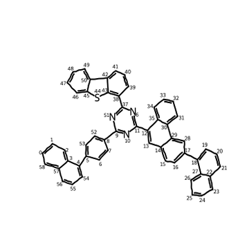 c1ccc2c(-c3ccc(-c4nc(-c5cc6ccc(-c7cccc8ccccc78)cc6c6ccccc56)nc(-c5cccc6c5sc5ccccc56)n4)cc3)cccc2c1